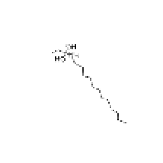 CCCCCCCCCCCCNC(O)(O)CC